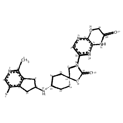 Cc1ncc(F)c2c1CC(N[C@H]1CC[C@]3(CC1)CN(c1cnc4c(n1)NC(=O)CO4)C(=O)O3)C2